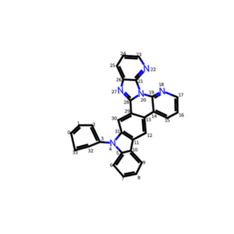 c1ccc(-n2c3ccccc3c3cc4c5cccnc5n5c6ncccc6nc5c4cc32)cc1